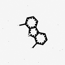 [CH2]c1cccc2c1sc1c([CH2])cccc12